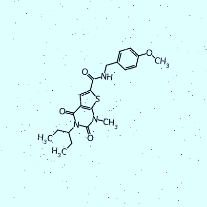 CCC(CC)n1c(=O)c2cc(C(=O)NCc3ccc(OC)cc3)sc2n(C)c1=O